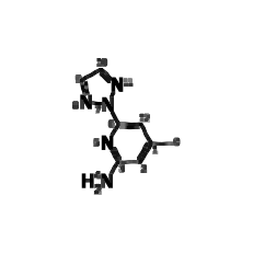 Cc1cc(N)nc(-n2nccn2)c1